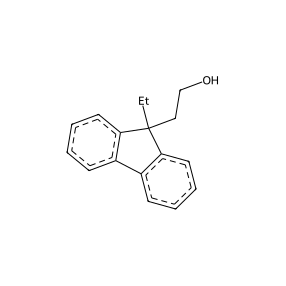 CCC1(CCO)c2ccccc2-c2ccccc21